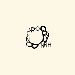 Fc1cccc2c1-c1cc3c(n[nH]c3cn1)-c1ccc3c(c1)CN(CC3)CCN1CC(C1)O2